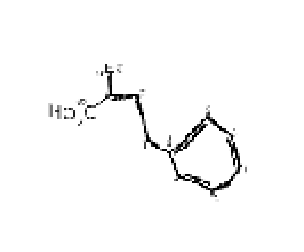 CCC(=CCc1ccccc1)C(=O)O